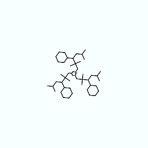 CC(C)CC(C1CCCCC1)C(C)(C)[CH2][Cr]([CH2]C(C)(C)C(CC(C)C)C1CCCCC1)[CH2]C(C)(C)C(CC(C)C)C1CCCCC1